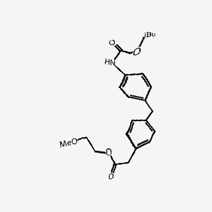 CCC(C)OC(=O)Nc1ccc(Cc2ccc(CC(=O)OCCOC)cc2)cc1